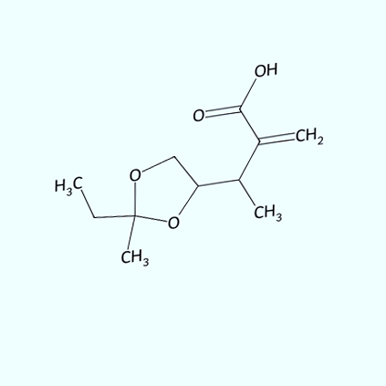 C=C(C(=O)O)C(C)C1COC(C)(CC)O1